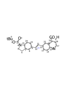 CC(C)(C)OC(=O)N1CCc2cc(/C=C/c3ccc4nccc(C(=O)O)c4c3)ccc21